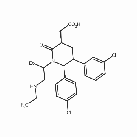 CCC(CNCC(F)(F)F)N1C(=O)[C@@H](CC(=O)O)CC(c2cccc(Cl)c2)[C@H]1c1ccc(Cl)cc1